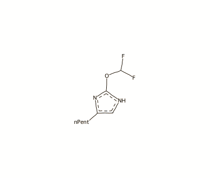 CCCCCc1c[nH]c(OC(F)F)n1